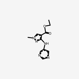 CCOC(=O)c1cn(C)nc1Nc1cncnc1